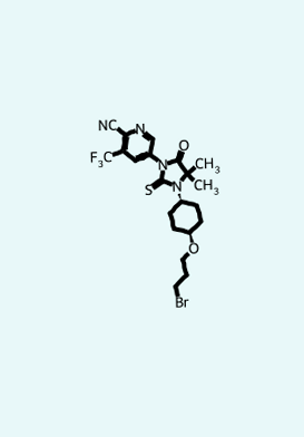 CC1(C)C(=O)N(c2cnc(C#N)c(C(F)(F)F)c2)C(=S)N1[C@H]1CC[C@H](OCCCBr)CC1